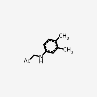 CC(=O)CNc1ccc(C)c(C)c1